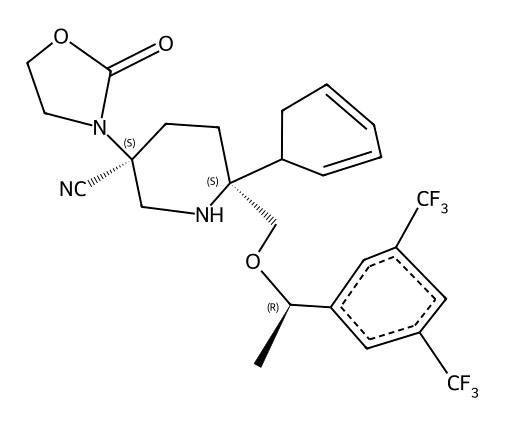 C[C@@H](OC[C@@]1(C2C=CC=CC2)CC[C@](C#N)(N2CCOC2=O)CN1)c1cc(C(F)(F)F)cc(C(F)(F)F)c1